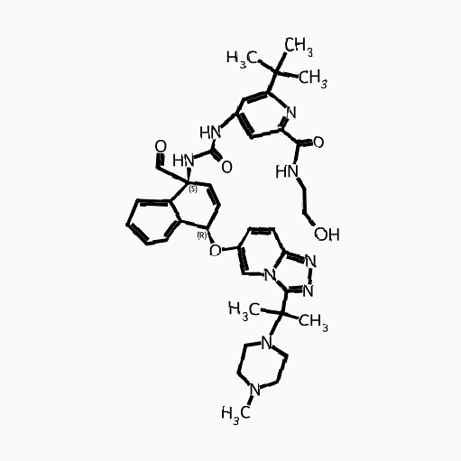 CN1CCN(C(C)(C)c2nnc3ccc(O[C@@H]4C=C[C@](C=O)(NC(=O)Nc5cc(C(=O)NCCO)nc(C(C)(C)C)c5)c5ccccc54)cn23)CC1